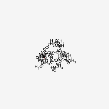 C#CCOC(=O)N[C@@H](CCCCNC(=O)OC(C)(C)C)C(=O)N[C@H](C(=O)N[C@@H](CCCNC(N)=O)C(=O)Nc1ccc(C[N+]2(C)CCN(CCOc3ccc(-c4c(-c5ccc(F)cc5)sc5ncnc(O[C@H](Cc6ccccc6OCc6ccnc(-c7ccccc7OC)n6)C(=O)OCc6ccc(OC)cc6)c45)c(C)c3Cl)CC2)c(CNC)c1)C(C)C.O=C([O-])C(F)(F)F